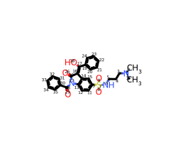 CN(C)CCCNS(=O)(=O)c1ccc2c(c1)/C(=C(/O)c1ccccc1)C(=O)N2C(=O)c1ccccc1